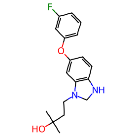 CC(C)(O)CCN1CNc2ccc(Oc3cccc(F)c3)cc21